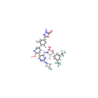 COc1ncc(-c2c(C)cc(-c3n[nH]c(=O)o3)cc2C)cc1-c1cnc(N2CC(F)C2)nc1CN1C(=O)O[C@H](c2cc(C(F)(F)F)cc(C(F)(F)F)c2)[C@@H]1C